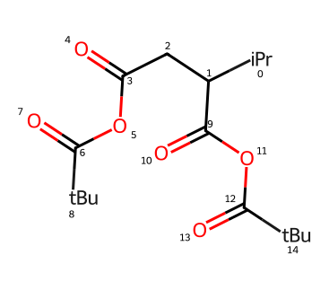 CC(C)C(CC(=O)OC(=O)C(C)(C)C)C(=O)OC(=O)C(C)(C)C